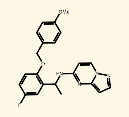 COc1ccc(COc2ccc(F)cc2C(C)Nc2ccn3nccc3n2)cc1